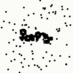 O=C(O)C1CN(Cc2ccc(-c3cc4cc(C5(c6ccccc6)CC5)ccc4o3)c(F)c2)C1